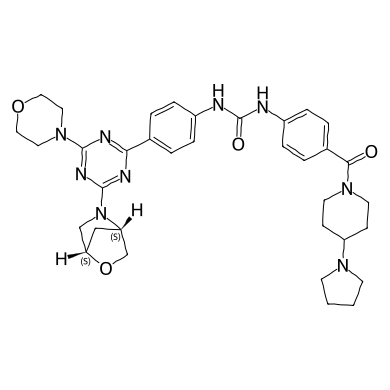 O=C(Nc1ccc(C(=O)N2CCC(N3CCCC3)CC2)cc1)Nc1ccc(-c2nc(N3CCOCC3)nc(N3C[C@@H]4C[C@H]3CO4)n2)cc1